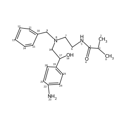 CC(C)C(=O)NCCN(Cc1ccccc1)CC(O)c1ccc(N)cc1